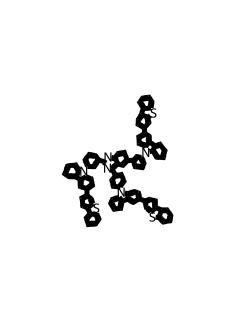 c1cc(-c2ccc3nc(-c4cccc(-n5c6ccccc6c6cc(-c7ccc8c(c7)sc7ccccc78)ccc65)c4)nc(-c4ccc(-n5c6ccccc6c6cc(-c7ccc8c(c7)sc7ccccc78)ccc65)cc4)c3c2)cc(-n2c3ccccc3c3cc(-c4ccc5c(c4)sc4ccccc45)ccc32)c1